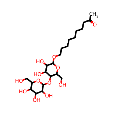 CC(=O)CCCCCCCCOC1OC(CO)C(OC2OC(CO)C(O)C(O)C2O)C(O)C1O